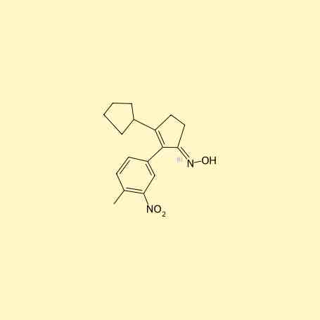 Cc1ccc(C2=C(C3CCCC3)CC/C2=N\O)cc1[N+](=O)[O-]